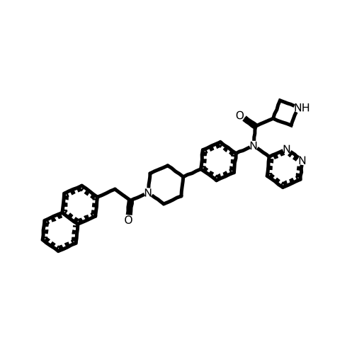 O=C(Cc1ccc2ccccc2c1)N1CCC(c2ccc(N(C(=O)C3CNC3)c3cccnn3)cc2)CC1